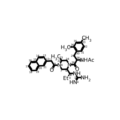 CC[C@H](NC(=N)N)C1CN(C(=O)Cc2ccc3ccccc3c2)C(C)CN1C(=O)C(Cc1ccc(C)cc1C)NC(C)=O